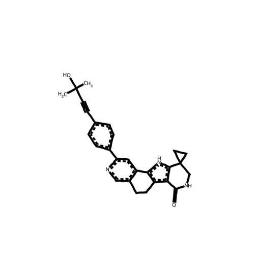 CC(C)(O)C#Cc1ccc(-c2cc3c(cn2)CCc2c-3[nH]c3c2C(=O)NCC32CC2)cc1